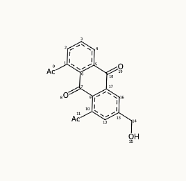 CC(=O)c1cccc2c1C(=O)c1c(C(C)=O)cc(CO)cc1C2=O